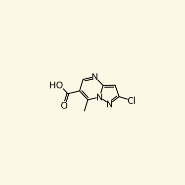 Cc1c(C(=O)O)cnc2cc(Cl)nn12